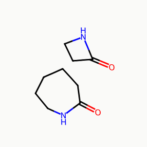 O=C1CCCCCN1.O=C1CCN1